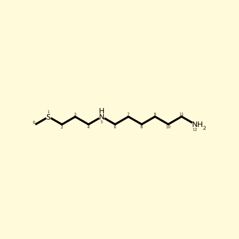 CSCCCNCCCCCCN